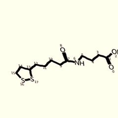 O=C(O)CCCNC(=O)CCCCC1CCSS1